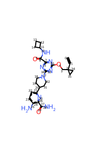 C#CC1(COc2nc(C(=O)NC3CCC3)nc(N3CCC(c4ccc(N)c(C(N)=O)n4)CC3)n2)CC1